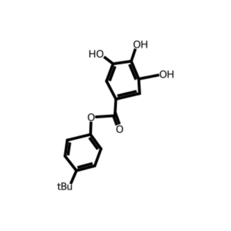 CC(C)(C)c1ccc(OC(=O)c2cc(O)c(O)c(O)c2)cc1